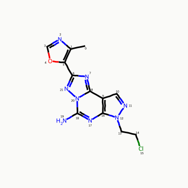 Cc1ncoc1-c1nc2c3cnn(CCCl)c3nc(N)n2n1